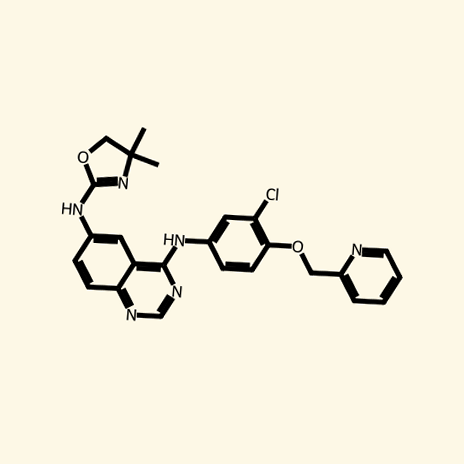 CC1(C)COC(Nc2ccc3ncnc(Nc4ccc(OCc5ccccn5)c(Cl)c4)c3c2)=N1